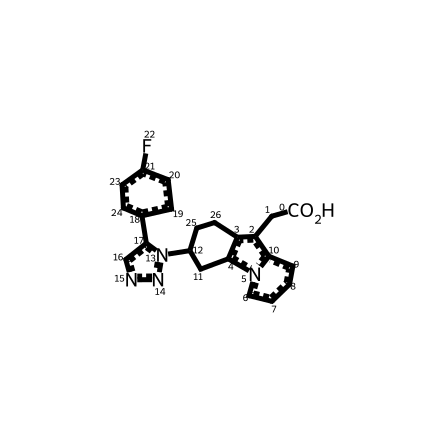 O=C(O)Cc1c2c(n3ccccc13)CC(n1nncc1-c1ccc(F)cc1)CC2